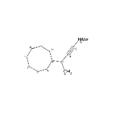 CNC#CC(C)C1CCCCCCC1